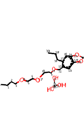 CCCCOCCOCCOCc1cc2c(cc1CCC)OCO2.OB(O)O